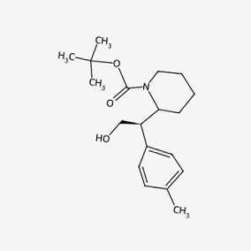 Cc1ccc([C@@H](CO)C2CCCCN2C(=O)OC(C)(C)C)cc1